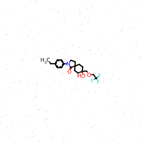 CCc1ccc(N2CCC3(CCC(O)(COCC(F)(F)F)CC3)C2=O)cc1